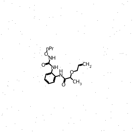 C=CCOC(C)C(=O)Nc1ccccc1NC(=O)NOCCC